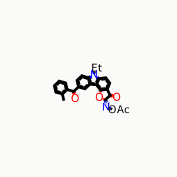 CCn1c2ccc(C(=O)c3ccccc3C)cc2c2c3c(ccc21)C(=O)/C(=N\OC(C)=O)O3